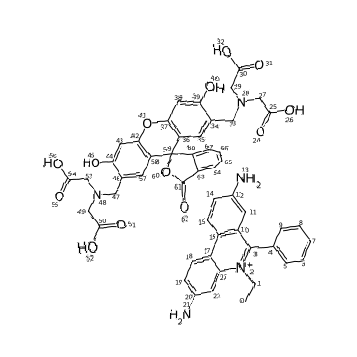 CC[n+]1c(-c2ccccc2)c2cc(N)ccc2c2ccc(N)cc21.O=C(O)CN(CC(=O)O)Cc1cc2c(cc1O)Oc1cc(O)c(CN(CC(=O)O)CC(=O)O)cc1C21OC(=O)c2ccccc21